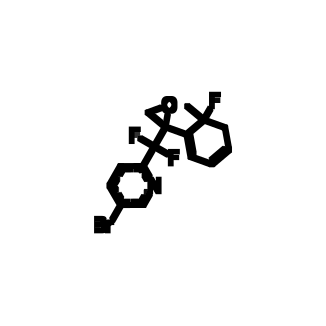 CC1(F)CC=CC=C1C1(C(F)(F)c2ccc(Br)cn2)CO1